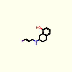 Oc1cccc2c1CC(NCC=CI)CC2